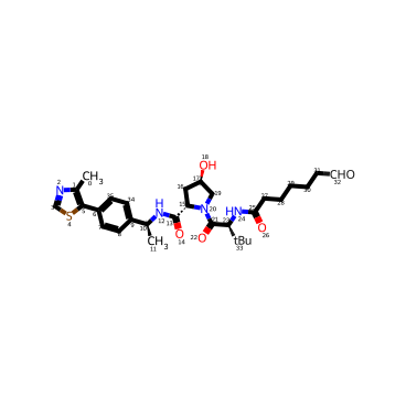 Cc1ncsc1-c1ccc([C@H](C)NC(=O)[C@@H]2C[C@@H](O)CN2C(=O)[C@@H](NC(=O)CCCCCC=O)C(C)(C)C)cc1